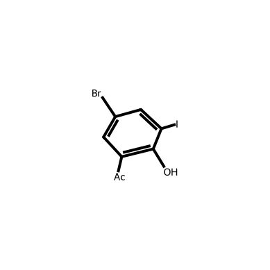 CC(=O)c1cc(Br)cc(I)c1O